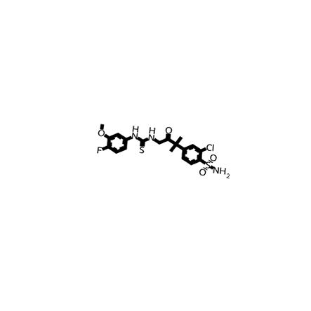 COc1cc(NC(=S)NCC(=O)C(C)(C)c2ccc(S(N)(=O)=O)c(Cl)c2)ccc1F